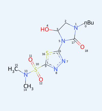 CCCCN1CC(O)N(c2nnc(S(=O)(=O)N(C)C)s2)C1=O